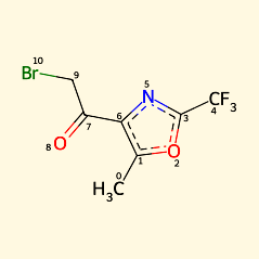 Cc1oc(C(F)(F)F)nc1C(=O)CBr